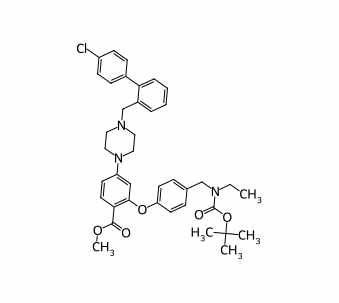 CCN(Cc1ccc(Oc2cc(N3CCN(Cc4ccccc4-c4ccc(Cl)cc4)CC3)ccc2C(=O)OC)cc1)C(=O)OC(C)(C)C